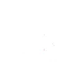 CC(C)(C)OC(=O)N1CCCCC1(C)n1cccn1